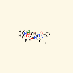 CC[C@H]1O[C@@H](n2cc(C)c(NC(=O)c3ccccc3)nc2=O)[C@@H](C)C1OP(=O)(Cl)N(C)C